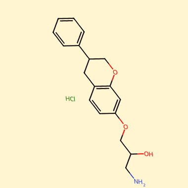 Cl.NCC(O)COc1ccc2c(c1)OCC(c1ccccc1)C2